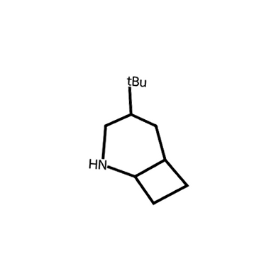 CC(C)(C)C1CNC2CCC2C1